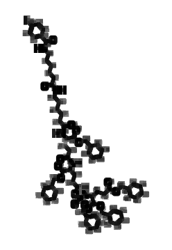 O=C(CCCCCNC(=O)c1ccc(F)cc1)NCCCCCC(=O)N[C@@H](CCC(=O)N[C@@H](CCCOP(=O)(N[C@@H](CCC(=O)OCc1ccccc1)C(=O)OCc1ccccc1)OCc1ccccc1)C(=O)OCc1ccccc1)C(=O)OCc1ccccc1